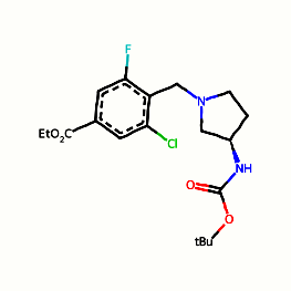 CCOC(=O)c1cc(F)c(CN2CC[C@@H](NC(=O)OC(C)(C)C)C2)c(Cl)c1